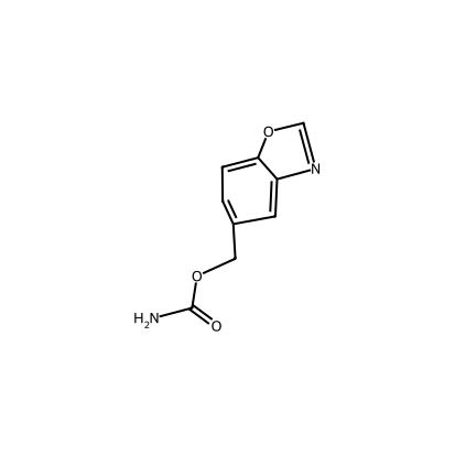 NC(=O)OCc1ccc2ocnc2c1